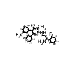 Cn1c(NCCC(N)c2ccccc2F)nc(-c2ccncc2)c(-c2cccc(C(F)(F)F)c2)c1=O